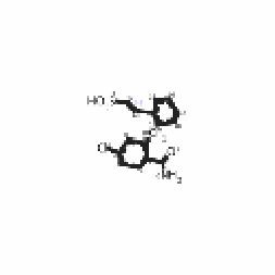 NC(=O)c1ccc(Cl)cc1C(F)(F)F.O=S(=O)(O)/C=C/c1ccccc1